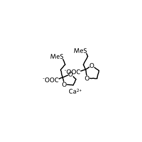 CSCCC1(C(=O)[O-])OCCO1.CSCCC1(C(=O)[O-])OCCO1.[Ca+2]